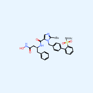 CCCCc1ncc(C(=O)N[C@H](CC(=O)NO)Cc2ccccc2)n1Cc1ccc(-c2ccccc2S(=O)(=O)NC(C)=O)cc1